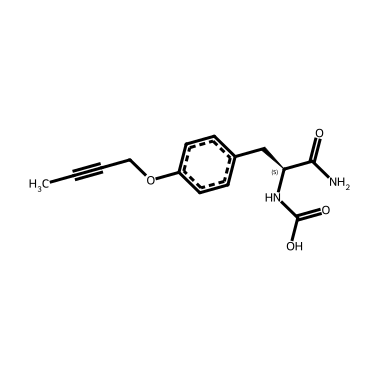 CC#CCOc1ccc(C[C@H](NC(=O)O)C(N)=O)cc1